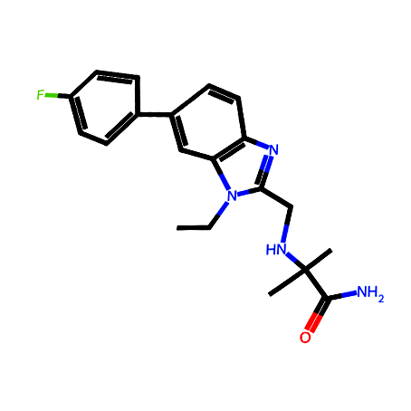 CCn1c(CNC(C)(C)C(N)=O)nc2ccc(-c3ccc(F)cc3)cc21